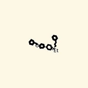 CCN(CCCc1ccccc1)[C@H]1CC[C@H](c2ccc(OCc3ccccc3)cc2)CC1